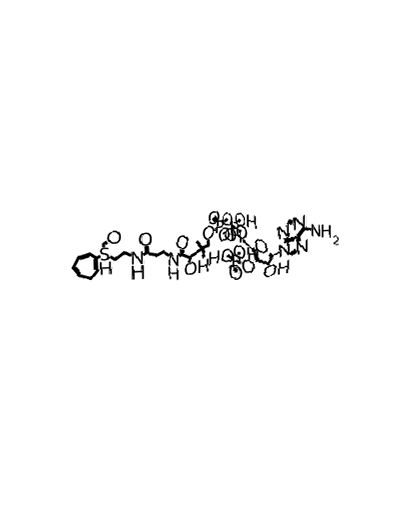 CC(C)(COP(=O)(O)OP(=O)(O)OC[C@H]1O[C@@H](n2cnc3c(N)ncnc32)[C@H](O)[C@@H]1OP(=O)(O)O)C(O)C(=O)NCCC(=O)NCC[SH](C=O)C1=CCC=CC=C1